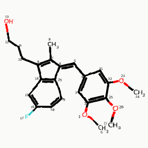 COc1cc(/C=C2/C(C)=C(CCCO)c3cc(F)ccc32)cc(OC)c1OC